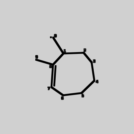 [CH2]C1CCCCC/C=C\1C